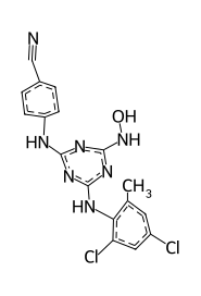 Cc1cc(Cl)cc(Cl)c1Nc1nc(NO)nc(Nc2ccc(C#N)cc2)n1